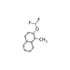 Cc1c(OC(F)F)ccc2ccccc12